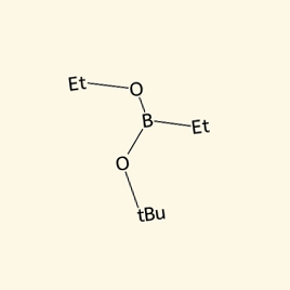 CCOB(CC)OC(C)(C)C